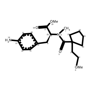 COCCC1(C(=O)N(C)[C@@H](Cc2ccc(N)cc2)C(=O)OC)CCCC1